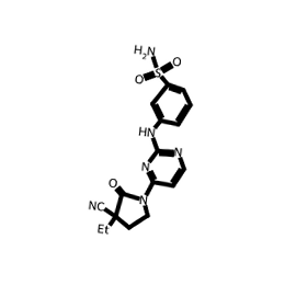 CCC1(C#N)CCN(c2ccnc(Nc3cccc(S(N)(=O)=O)c3)n2)C1=O